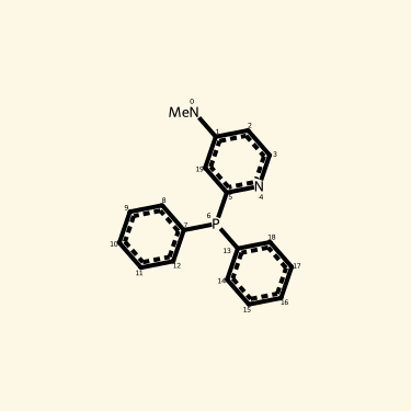 CNc1ccnc(P(c2ccccc2)c2ccccc2)c1